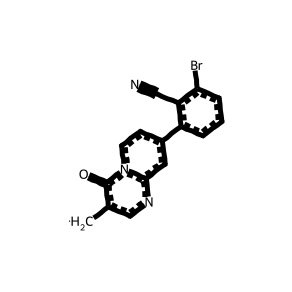 [CH2]c1cnc2cc(-c3cccc(Br)c3C#N)ccn2c1=O